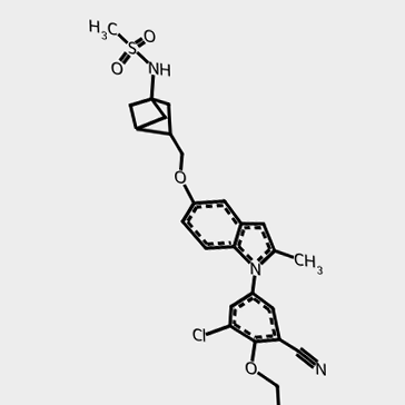 Cc1cc2cc(OCC3CC4(NS(C)(=O)=O)CC3C4)ccc2n1-c1cc(Cl)c(OCCCl)c(C#N)c1